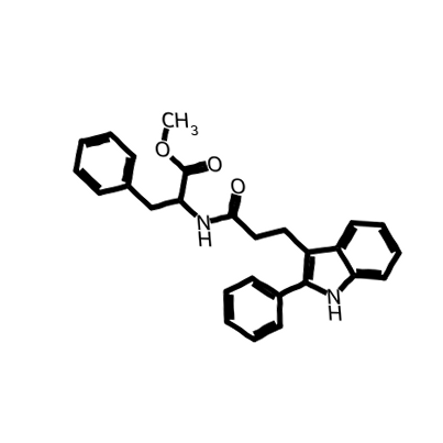 COC(=O)C(Cc1ccccc1)NC(=O)CCc1c(-c2ccccc2)[nH]c2ccccc12